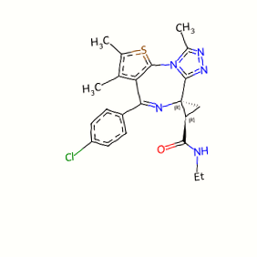 CCNC(=O)[C@@H]1C[C@@]12N=C(c1ccc(Cl)cc1)c1c(sc(C)c1C)-n1c(C)nnc12